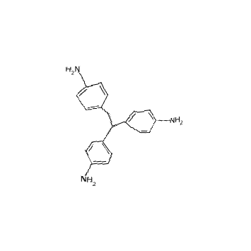 Nc1ccc(C(c2ccc(N)cc2)c2ccc(N)cc2)cc1